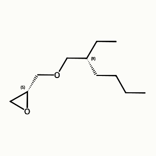 CCCC[C@@H](CC)COC[C@H]1CO1